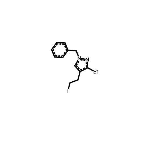 [CH2]Cc1nn(Cc2ccccc2)cc1CCI